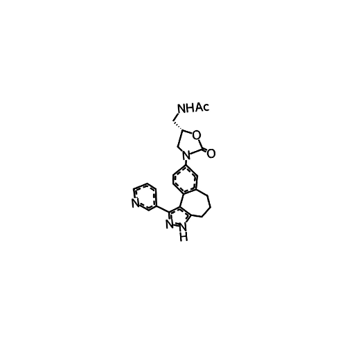 CC(=O)NC[C@H]1CN(c2ccc3c(c2)CCCc2[nH]nc(-c4cccnc4)c2-3)C(=O)O1